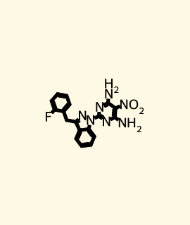 Nc1nc(-n2nc(Cc3ccccc3F)c3ccccc32)nc(N)c1[N+](=O)[O-]